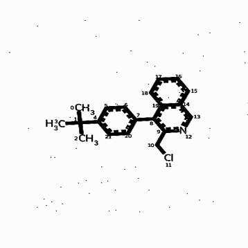 CC(C)(C)c1ccc(-c2c(CCl)ncc3ccccc23)cc1